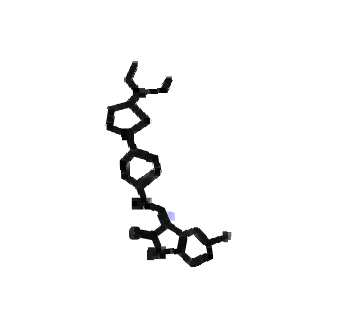 CCN(CC)C1CCN(c2ccc(N/C=C3\C(=O)Nc4ccc(F)cc43)cc2)C1